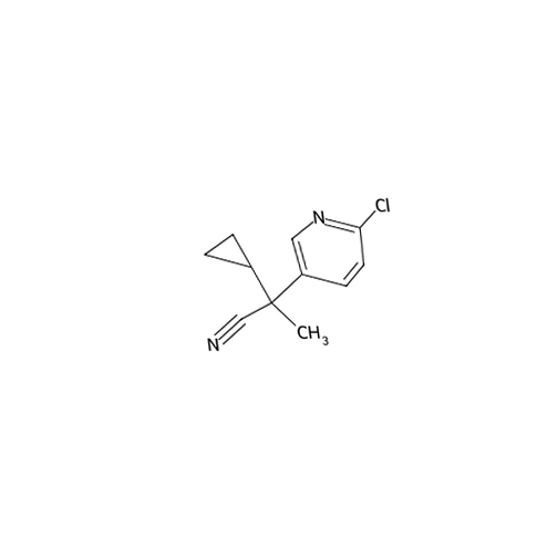 CC(C#N)(c1ccc(Cl)nc1)C1CC1